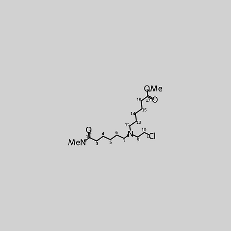 CNC(=O)CCCCCN(CCCl)CCCCCC(=O)OC